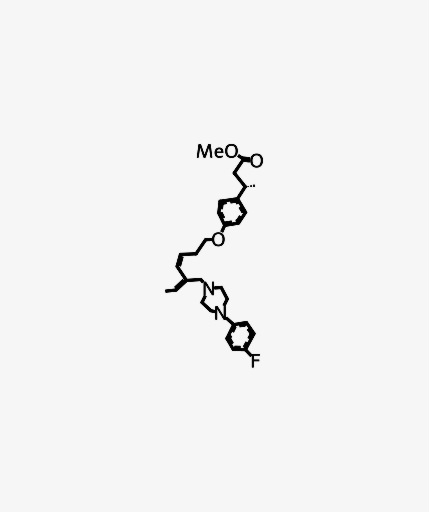 C/C=C(\C=C/CCOc1ccc([C@@H](C)CC(=O)OC)cc1)CN1CCN(c2ccc(F)cc2)CC1